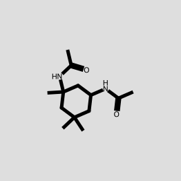 CC(=O)NC1CC(C)(C)CC(C)(NC(C)=O)C1